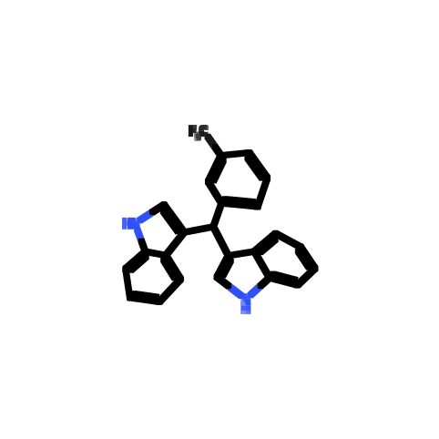 FC(F)(F)c1cccc(C(c2c[nH]c3ccccc23)c2c[nH]c3ccccc23)c1